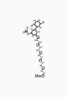 COCCOCCOCCOCCOCCOc1cc(CN(C)C)cc(-c2cc(C)ccc2C)c1